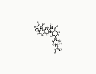 C=CC(=O)N1CCN(c2ccc(C(C)Nc3ncc4ccc(=O)n(C(C)C(C)C)c4n3)cc2)CC1